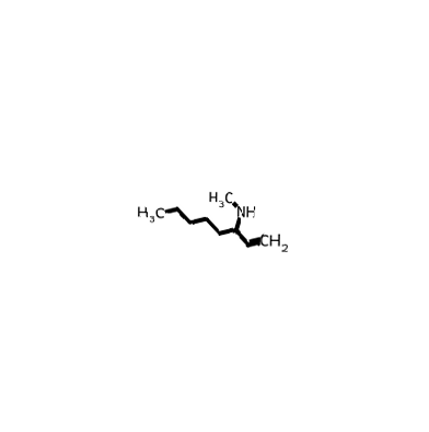 C=C[C](CCCCC)NC